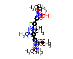 CC(C)Nc1cc(C2=CCN(C(=NC(=O)OC(C)(C)C)NC(=O)OC(C)(C)C)CC2)ccc1-c1nnc(-c2ccc(C3=CCN(C(=NC(=O)OC(C)(C)C)NC(=O)O)CC3)cc2F)n1C(C)C